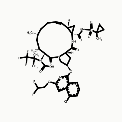 C[C@@H]1CC/C=C\[C@@H]2C[C@@]2(C(=O)NS(=O)(=O)C2(C)CC2)NC(=O)[C@@H]2C[C@@H](Oc3nc(OCC(F)F)cc4c(Cl)cccc34)CN2C(=O)[C@@H](N(C(=O)O)C(C)(C)C(F)(F)F)[C@H](C)C1